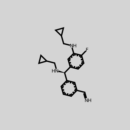 N=Cc1cccc([C@@H](NCC2CC2)c2ccc(F)c(NCC3CC3)c2)c1